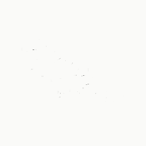 C[C@@]1(O)CC[C@]2(C)C3CC[C@@]4(C)C(CC[C@@H]4C(=O)CSS(=O)(=O)[O-])C3CC[C@H]2C1.[Na+]